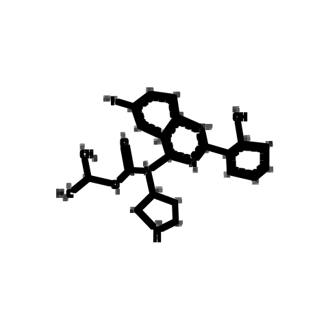 CC(C)OC(=O)N(c1nc(-c2ccccc2O)nc2ccc(F)cc12)C1CCNC1